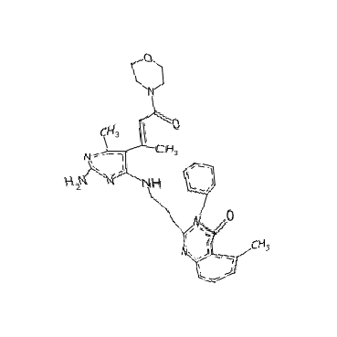 C/C(=C\C(=O)N1CCOCC1)c1c(C)nc(N)nc1NCCCc1nc2cccc(C)c2c(=O)n1-c1ccccc1